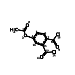 CC(=O)Oc1ccc(C(=O)Cl)c(C(=O)Cl)c1